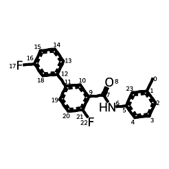 Cc1cccc(NC(=O)c2cc(-c3cccc(F)c3)ccc2F)c1